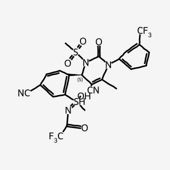 CC1=C(C#N)[C@@H](c2ccc(C#N)cc2[SH](C)(O)=NC(=O)C(F)(F)F)N(S(C)(=O)=O)C(=O)N1c1cccc(C(F)(F)F)c1